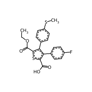 CCOC(=O)c1sc(C(=O)O)c(-c2ccc(F)cc2)c1-c1ccc(SC)cc1